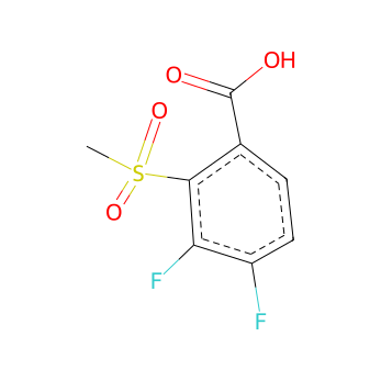 CS(=O)(=O)c1c(C(=O)O)ccc(F)c1F